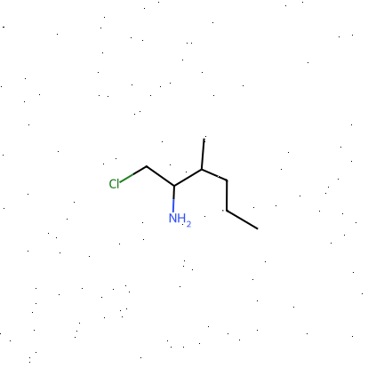 C[CH]CC(C)C(N)CCl